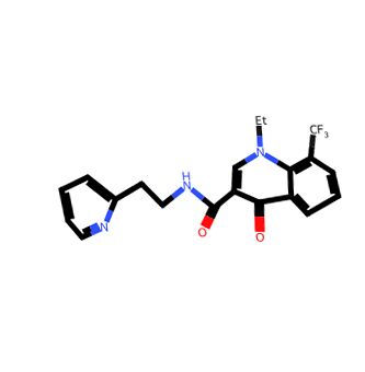 CCn1cc(C(=O)NCCc2ccccn2)c(=O)c2cccc(C(F)(F)F)c21